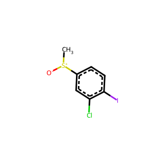 C[S+]([O-])c1ccc(I)c(Cl)c1